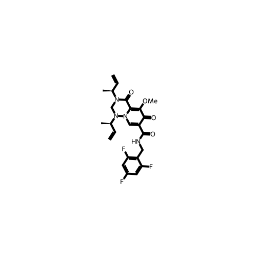 C=C[C@@H](C)N1CN([C@@H](C)C=C)C(=O)c2c(OC)c(=O)c(C(=O)NCc3c(F)cc(F)cc3F)cn21